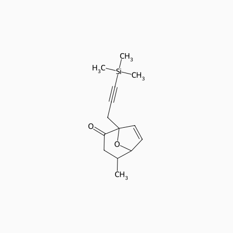 CC1CC(=O)C2(CC#C[Si](C)(C)C)C=CC1O2